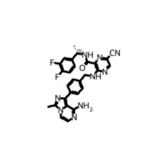 Cc1nc(-c2ccc(CNc3ncc(C#N)nc3C(=O)N[C@@H](C)c3ccc(F)c(F)c3)cc2)c2c(N)nccn12